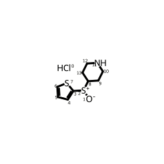 Cl.[O-][S+](c1cccs1)C1CCNCC1